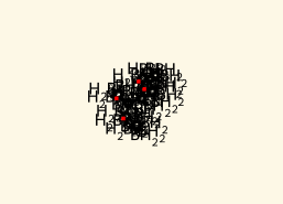 Bc1c(B)c(B)c(-c2nc(-c3c(B)c(B)c(B)c(-c4c(B)c(B)c(B)c(B)c4B)c3B)nc(-c3c(B)c(B)c4c(oc5c(-n6c7c(B)c(B)c(B)c(B)c7c7c(B)c(B)c(B)c(B)c76)c(B)c(B)c(B)c54)c3B)n2)c(B)c1B